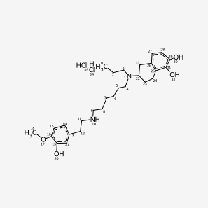 CCCN(CCCCCCNCCc1ccc(OC)c(O)c1)C1CCc2c(ccc(O)c2O)C1.Cl.Cl